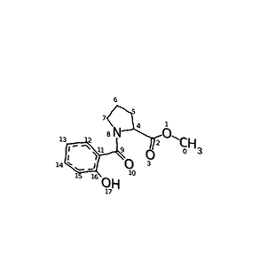 COC(=O)C1CCCN1C(=O)c1ccccc1O